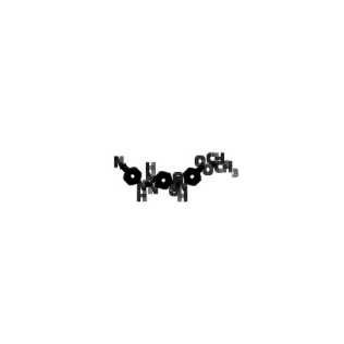 CC(C)OC(=O)c1ccc(NS(=O)(=O)c2ccc3[nH]c(Nc4ccc(C#N)cc4)nc3c2)cc1